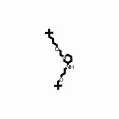 CC(C)(C)CCCCOCCN1CCCC(NCCCOCC(C)(C)C)C1